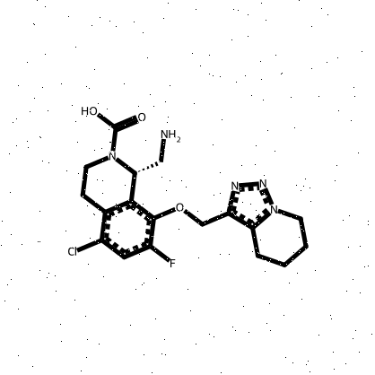 NC[C@@H]1c2c(c(Cl)cc(F)c2OCc2nnn3c2CCCC3)CCN1C(=O)O